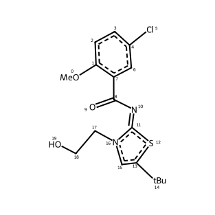 COc1ccc(Cl)cc1C(=O)N=c1sc(C(C)(C)C)cn1CCO